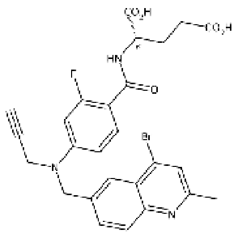 C#CCN(Cc1ccc2nc(C)cc(Br)c2c1)c1ccc(C(=O)N[C@@H](CCC(=O)O)C(=O)O)c(F)c1